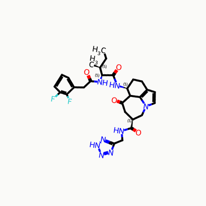 CC[C@H](C)[C@H](NC(=O)Cc1cccc(F)c1F)C(=O)N[C@H]1CCc2ccn3c2C1C(=O)C[C@H](C(=O)NCc1nn[nH]n1)C3